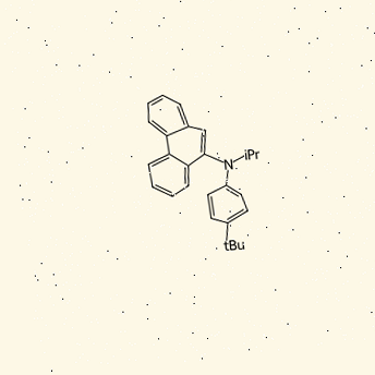 CC(C)N(c1ccc(C(C)(C)C)cc1)c1cc2ccccc2c2ccccc12